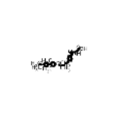 Cc1cc(OCC(C)(C)CCCc2ccc(C(=O)NCCC(=O)O)cc2)cc(C)c1-c1ccc(C(C)C)cc1